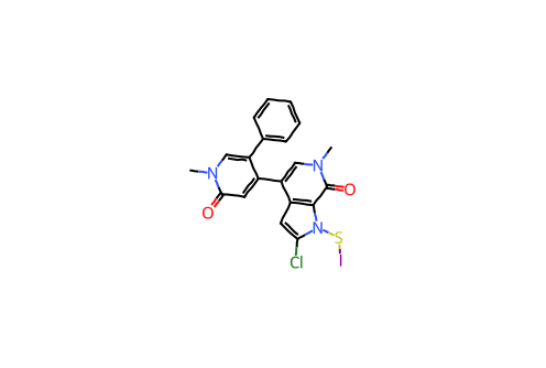 Cn1cc(-c2ccccc2)c(-c2cn(C)c(=O)c3c2cc(Cl)n3SI)cc1=O